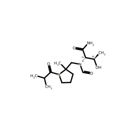 CC(C)C(=O)N1CCCC1(C)CN(C=O)[C@H](C(N)=O)[C@@H](C)O